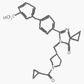 O=C(O)c1cccc(-c2ccc(C3=NC4(CC4)C(=O)N3CC3CCN(C(=O)C4CC4)C3)cc2)c1